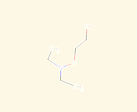 CCN(CC)OCCO